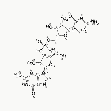 CC(=O)O[C@H]1C(O)[C@@H](COP(=O)(O)OC2[C@@H](CO)O[C@@H](n3cnc4c(=O)[nH]c(C)nc43)[C@H]2OC(C)=O)O[C@H]1n1cnc(N)nc1=O